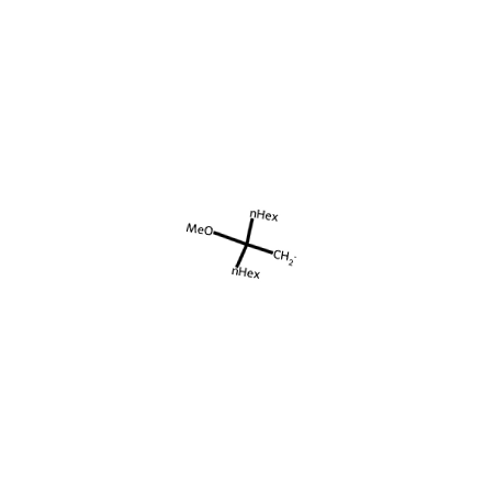 [CH2]C(CCCCCC)(CCCCCC)OC